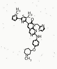 Cc1sc(-c2cccn2C)nc1-c1cc2cnc(Nc3ccc(OC4CCCN(C)C4)cc3)nc2n(Cc2nccs2)c1=O